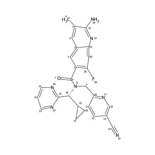 Cc1cc2cc(C(=O)N(Cc3ccc(C#N)cn3)[C@@H](c3ncccn3)C3CC3)c(F)cc2nc1N